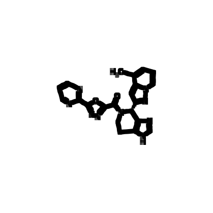 Cc1cccn2nc([C@@H]3c4nc[nH]c4CCN3C(=O)c3nnc(-c4ncccn4)o3)cc12